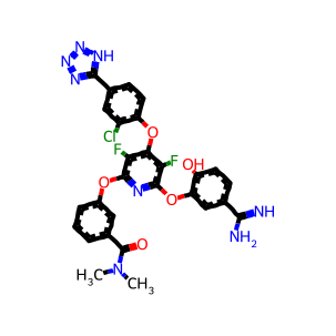 CN(C)C(=O)c1cccc(Oc2nc(Oc3cc(C(=N)N)ccc3O)c(F)c(Oc3ccc(-c4nnn[nH]4)cc3Cl)c2F)c1